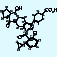 O=C(O)C1CC=C(c2nn(C(=O)c3c(Cl)cccc3C3CC3)c3c2CCC(C(=O)N2CCC[C@H]2CO)C3)CC1